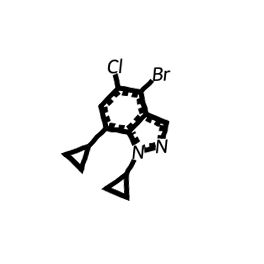 Clc1cc(C2CC2)c2c(cnn2C2CC2)c1Br